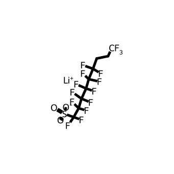 O=S(=O)([O-])C(F)(F)C(F)(F)C(F)(F)C(F)(F)C(F)(F)C(F)(F)CCC(F)(F)F.[Li+]